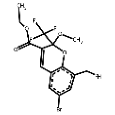 [2H]Cc1cc(Br)cc2c1OC(OC)(C(F)(F)F)C(C(=O)OCC)=C2